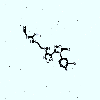 N#C/N=C(\N)NCCNc1nonc1-c1noc(=O)n1-c1ccc(F)c(Br)c1